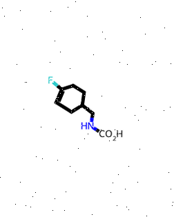 O=C(O)NCC1CC=C(F)CC1